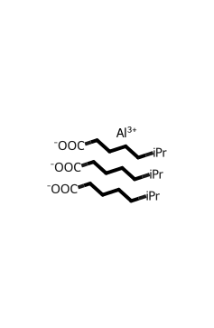 CC(C)CCCCC(=O)[O-].CC(C)CCCCC(=O)[O-].CC(C)CCCCC(=O)[O-].[Al+3]